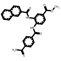 COC(=O)c1ccc(NC(=O)c2ccc(C(N)=S)cc2)c(NC(=O)c2ccc3ccccc3c2)c1